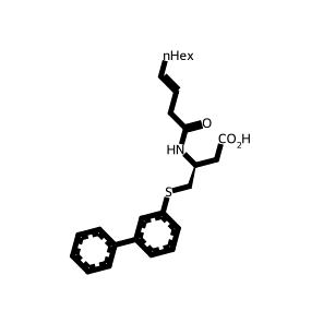 CCCCCC/C=C/CC(=O)N[C@H](CSc1cccc(-c2ccccc2)c1)CC(=O)O